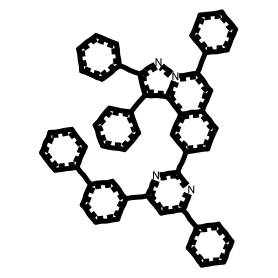 c1ccc(-c2cccc(-c3cc(-c4ccccc4)nc(-c4ccc5cc(-c6ccccc6)n6nc(-c7ccccc7)c(-c7ccccc7)c6c5c4)n3)c2)cc1